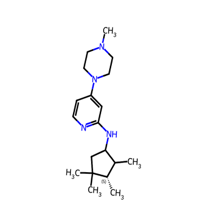 CC1C(Nc2cc(N3CCN(C)CC3)ccn2)CC(C)(C)[C@H]1C